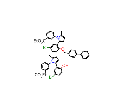 CCOC(=O)c1cccc(-n2c(C)ccc2-c2cc(Br)ccc2O)c1.CCOC(=O)c1cccc(-n2c(C)ccc2-c2cc(Br)ccc2OCc2ccc(-c3ccccc3)cc2)c1